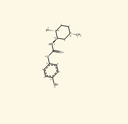 CC(C)[C@@H]1CC[C@H](C)C[C@H]1NC(=O)Oc1ccc(C(C)(C)C)cc1